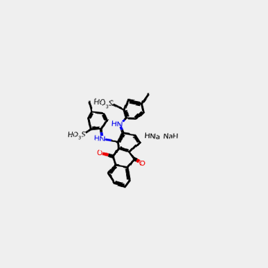 Cc1ccc(Nc2ccc3c(c2Nc2ccc(C)cc2S(=O)(=O)O)C(=O)c2ccccc2C3=O)c(S(=O)(=O)O)c1.[NaH].[NaH]